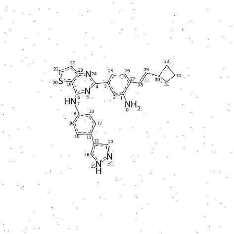 Nc1cc(-c2nc(Nc3ccc(-c4cn[nH]c4)cc3)c3sccc3n2)ccc1/C=C/C1CCC1